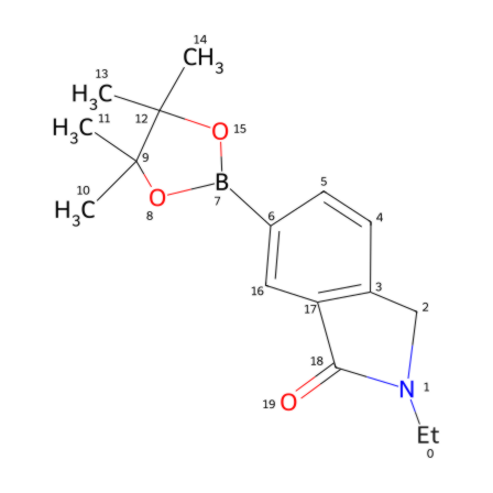 CCN1Cc2ccc(B3OC(C)(C)C(C)(C)O3)cc2C1=O